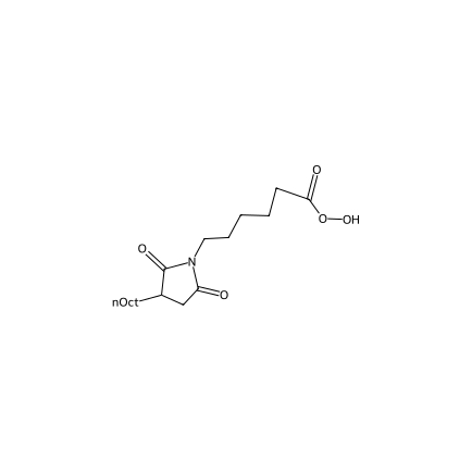 CCCCCCCCC1CC(=O)N(CCCCCC(=O)OO)C1=O